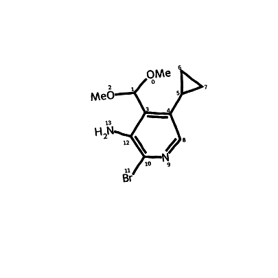 COC(OC)c1c(C2CC2)cnc(Br)c1N